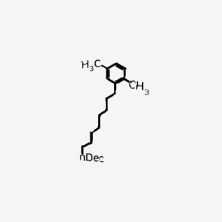 CCCCCCCCCCCCCCCCCCc1cc(C)ccc1C